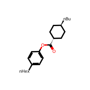 CCCCCCc1ccc(OC(=O)[C@H]2CC[C@H](CCCC)CC2)cc1